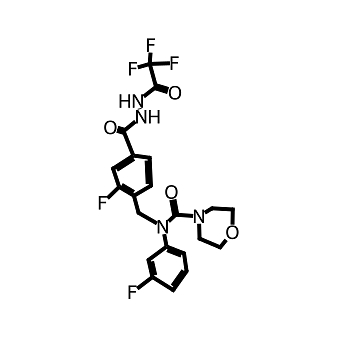 O=C(NNC(=O)C(F)(F)F)c1ccc(CN(C(=O)N2CCOCC2)c2cccc(F)c2)c(F)c1